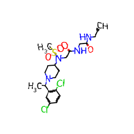 C#CCNC(=O)CNC(=O)CN(C1CCN(C(C)c2cc(Cl)ccc2Cl)CC1)S(C)(=O)=O